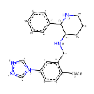 COc1ccc(-n2cnnc2)cc1CNC1CCCNC1c1ccccc1